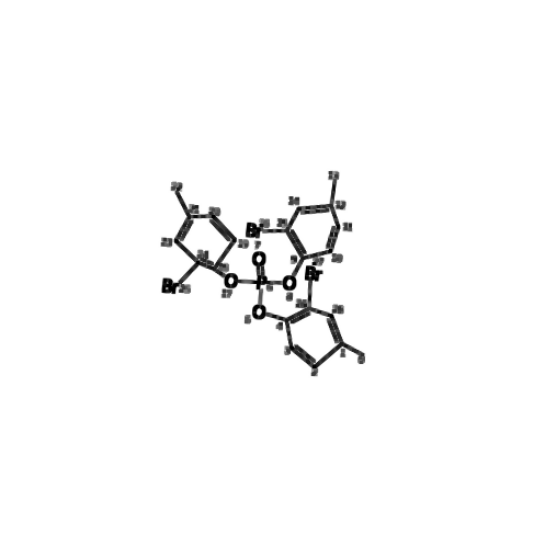 Cc1ccc(OP(=O)(Oc2ccc(C)cc2Br)Oc2ccc(C)cc2Br)c(Br)c1